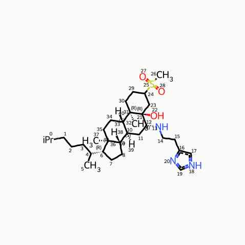 CC(C)CCCC(C)[C@H]1CC[C@H]2[C@@H]3C[C@@H](NCCc4c[nH]cn4)[C@@]4(O)CC(S(C)(=O)=O)CC[C@]4(C)[C@H]3CC[C@]12C